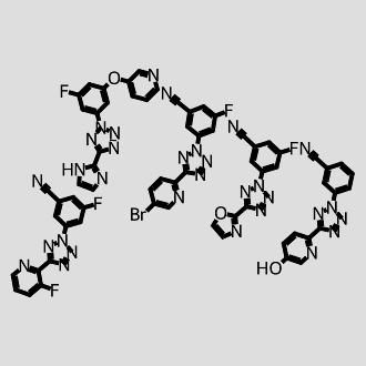 Fc1cc(Oc2cccnc2)cc(-n2nnc(-c3ncc[nH]3)n2)c1.N#Cc1cc(F)cc(-n2nnc(-c3ccc(Br)cn3)n2)c1.N#Cc1cc(F)cc(-n2nnc(-c3ncccc3F)n2)c1.N#Cc1cc(F)cc(-n2nnc(-c3ncco3)n2)c1.N#Cc1cccc(-n2nnc(-c3ccc(O)cn3)n2)c1